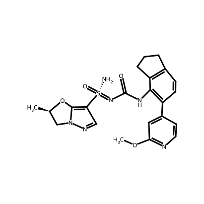 COc1cc(-c2ccc3c(c2NC(=O)N=[S@](N)(=O)c2cnn4c2O[C@H](C)C4)CCC3)ccn1